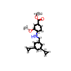 CC(C)Oc1cc(C(=O)OC(C)(C)C)ccc1NCc1cc(C2CC2)cc(C2CC2)c1